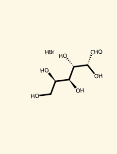 Br.O=C[C@H](O)[C@@H](O)[C@@H](O)[C@H](O)CO